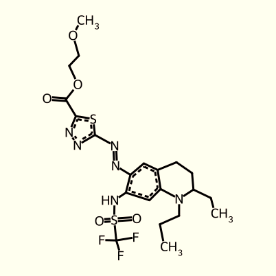 CCCN1c2cc(NS(=O)(=O)C(F)(F)F)c(N=Nc3nnc(C(=O)OCCOC)s3)cc2CCC1CC